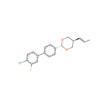 CC=C[C@H]1CO[C@H](c2ccc(-c3ccc(Cl)c(F)c3)cc2)OC1